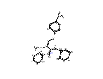 CC(=CSc1ccc(C)cc1)/C(=N\c1ccccc1)Sc1ccccc1